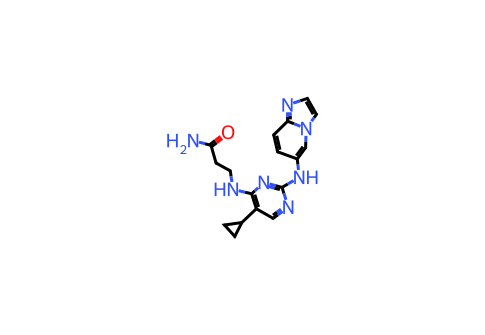 NC(=O)CCNc1nc(Nc2ccc3nccn3c2)ncc1C1CC1